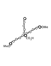 COc1ccc(COCCOCCOCCOc2cc(C(=O)O)cc(OCCOCCOCCOCc3ccc(OC)cc3)c2OCCOCCOCCOCC2C=CCCC2)cc1